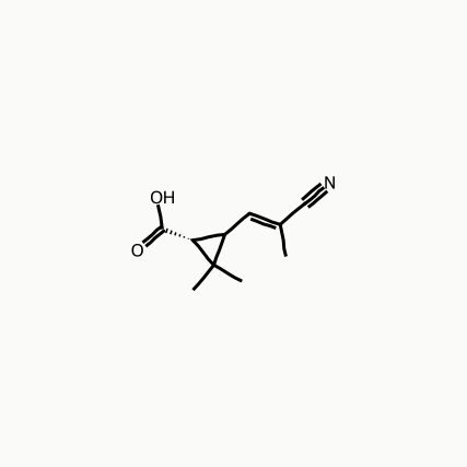 C/C(C#N)=C\C1[C@@H](C(=O)O)C1(C)C